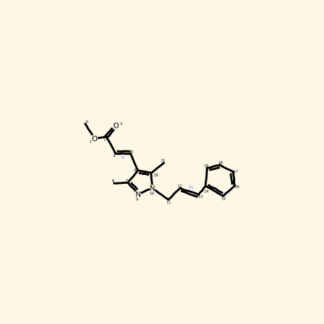 COC(=O)/C=C/c1c(C)nn(C/C=C/c2ccccc2)c1C